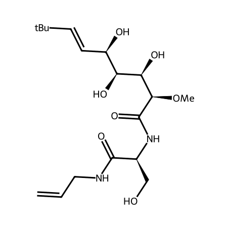 C=CCNC(=O)[C@H](CO)NC(=O)[C@H](OC)[C@H](O)[C@@H](O)[C@H](O)/C=C/C(C)(C)C